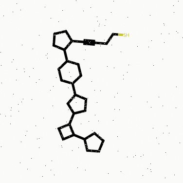 SCCC#CC1CCCC1C1CCC(C2CCC(C3CCC3C3CCCC3)C2)CC1